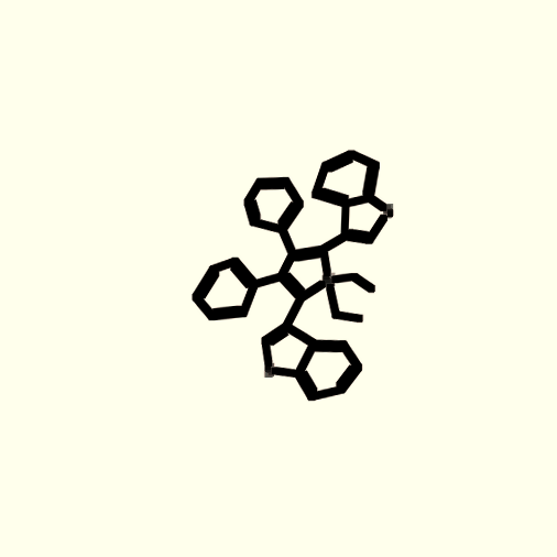 CC[Si]1(CC)C(c2csc3ccccc23)=C(c2ccccc2)C(c2ccccc2)=C1c1csc2ccccc12